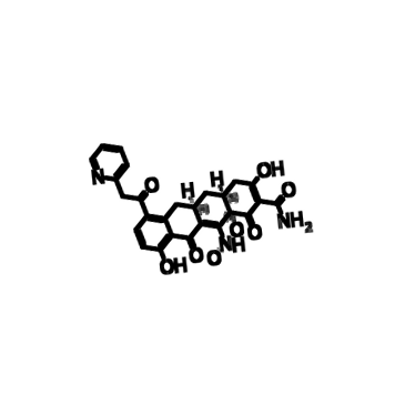 NC(=O)C1=C(O)C[C@@H]2C[C@@H]3Cc4c(C(=O)Cc5ccccn5)ccc(O)c4C(=O)C3=C(N=O)[C@]2(O)C1=O